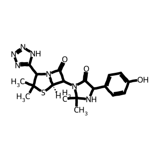 CC1(C)S[C@@H]2C(N3C(=O)C(c4ccc(O)cc4)NC3(C)C)C(=O)N2C1c1nnn[nH]1